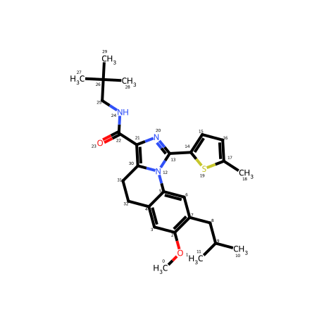 COc1cc2c(cc1CC(C)C)-n1c(-c3ccc(C)s3)nc(C(=O)NCC(C)(C)C)c1CC2